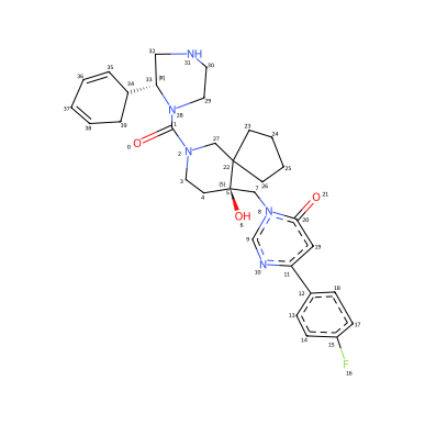 O=C(N1CC[C@@](O)(Cn2cnc(-c3ccc(F)cc3)cc2=O)C2(CCCC2)C1)N1CCNC[C@H]1C1C=CC=CC1